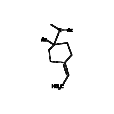 CC(=O)N(C)C1(C(C)=O)CCC(=CC(=O)O)CC1